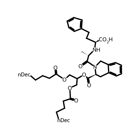 CCCCCCCCCCCCCC(=O)OCC(COC(=O)CCCCCCCCCCCCC)OC(=O)[C@@H]1Cc2ccccc2CN1C(=O)[C@H](C)N[C@@H](CCc1ccccc1)C(=O)O